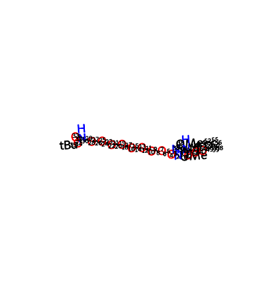 COc1nc(OCCOCCOCCOCCOCCOCCOCCOCCOCCNC(=O)OC(C)(C)C)nc(OC)c1NC(=O)c1ccc(Oc2cc3c(cc2C)CCC3(C)C)o1